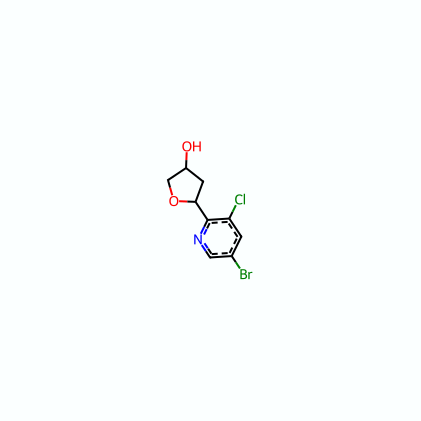 OC1COC(c2ncc(Br)cc2Cl)C1